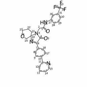 O=C(CN1C(=O)C(c2ccc(-c3ccccn3)cc2)=NC12CCCOC2)Nc1cccc(C(F)(F)F)c1